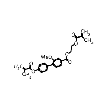 C=C(C)C(=O)OCCOC(=O)c1ccc(-c2ccc(OC(=O)C(=C)C)cc2)c(OC)c1